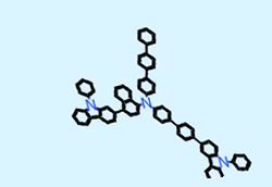 c1ccc(-c2ccc(-c3ccc(N(c4ccc(-c5ccc(-c6ccc7c(c6)c6ccccc6n7-c6ccccc6)cc5)cc4)c4ccc(-c5ccc6c7ccccc7n(-c7ccccc7)c6c5)c5ccccc45)cc3)cc2)cc1